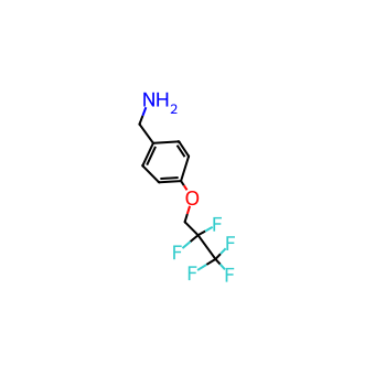 NCc1ccc(OCC(F)(F)C(F)(F)F)cc1